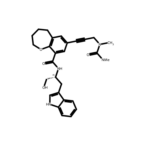 CNC(=O)N(C)CC#Cc1cc2c(c(C(=O)N[C@@H](CO)Cc3c[nH]c4ccccc34)c1)OCCCC2